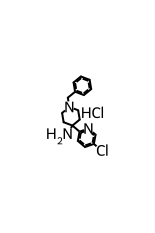 Cl.NC1(c2ccc(Cl)cn2)CCN(Cc2ccccc2)CC1